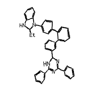 CCC1Nc2ccccc2N1c1ccc(-c2ccccc2-c2cccc(C3N=C(c4ccccc4)N=C(c4ccccc4)N3)c2)cc1